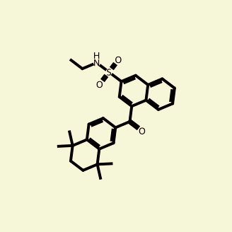 CCNS(=O)(=O)c1cc(C(=O)c2ccc3c(c2)C(C)(C)CCC3(C)C)c2ccccc2c1